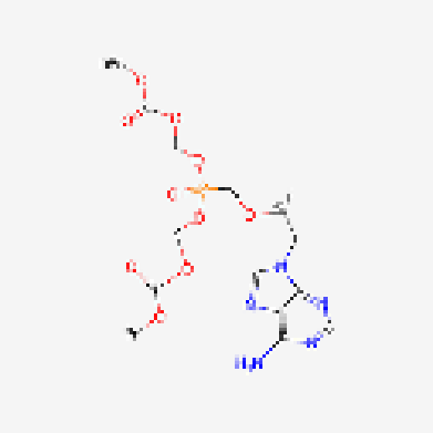 CCCOC(=O)OCOP(=O)(CO[C@H](C)Cn1cnc2c(N)ncnc21)OCOC(=O)OC(C)C